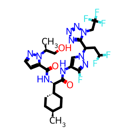 C[C@@H](CO)n1nccc1C(=O)N[C@H](C(=O)Nc1cn(C(CC(F)F)c2nnnn2CC(F)(F)F)nc1F)[C@H]1CC[C@H](C)CC1